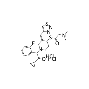 CN(C)CC(=O)SC1CCN(C(C(=O)C2CC2)c2ccccc2F)CC1=Cc1csnn1.Cl.Cl